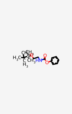 CC(C)(C)[Si](C)(C)OCCNC(=O)Oc1ccccc1